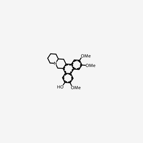 COc1cc2c(cc1O)c1c(c3cc(OC)c(OC)cc32)CC2CCCCN2C1